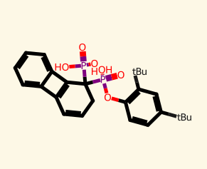 CC(C)(C)c1ccc(OP(=O)(O)C2(P(=O)(O)O)CC=CC3=C2c2ccccc23)c(C(C)(C)C)c1